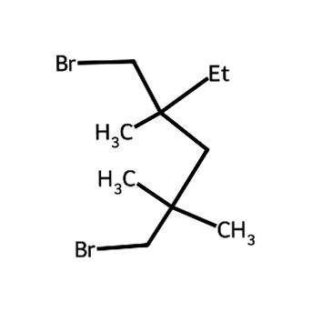 CCC(C)(CBr)CC(C)(C)CBr